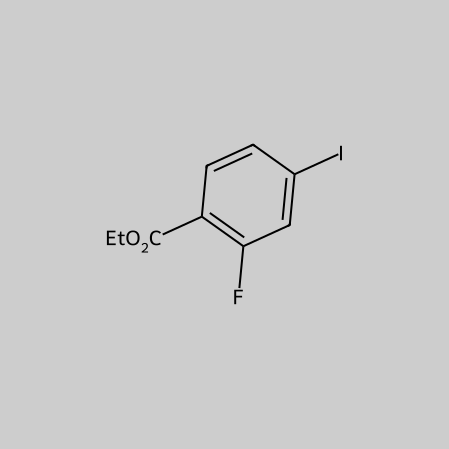 CCOC(=O)c1ccc(I)cc1F